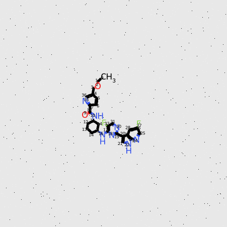 CCOCc1ccc(C(=O)N[C@@H]2CCC[C@H](Nc3nc(-c4c[nH]c5ncc(F)cc45)ncc3F)C2)nc1